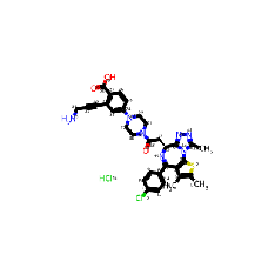 Cc1sc2c(c1C)C(c1ccc(Cl)cc1)=N[C@@H](CC(=O)N1CCN(c3ccc(C(=O)O)c(C#CCN)c3)CC1)c1nnc(C)n1-2.Cl